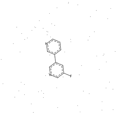 Fc1cncc(-c2cccnc2)c1